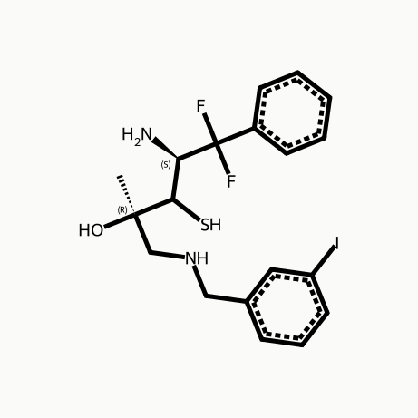 C[C@@](O)(CNCc1cccc(I)c1)C(S)[C@@H](N)C(F)(F)c1ccccc1